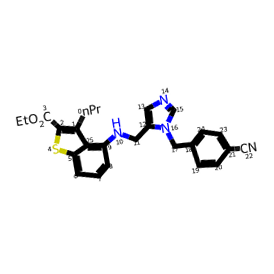 CCCc1c(C(=O)OCC)sc2cccc(NCc3cncn3Cc3ccc(C#N)cc3)c12